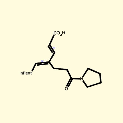 CCCCC/C=C(/C=C/C(=O)O)CCC(=O)N1CCCC1